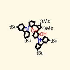 CO[C@@H]1C(c2cccc(-n3c4ccc(C(C)(C)C)cc4c4cc(C(C)(C)C)ccc43)c2O)C(c2cccc(-n3c4ccc(C(C)(C)C)cc4c4cc(C(C)(C)C)ccc43)c2O)[C@H]1OC